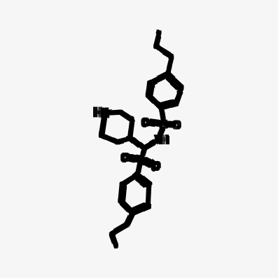 CCCc1ccc(S(=O)(=O)NC(C2CCNCC2)S(=O)(=O)c2ccc(CCC)cc2)cc1